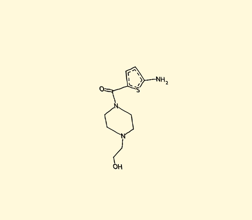 Nc1ccc(C(=O)N2CCN(CCO)CC2)s1